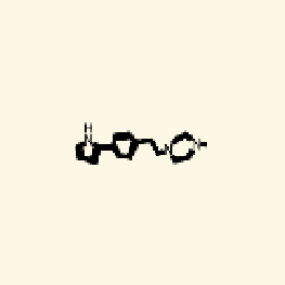 CN1CCN(CCc2ccc(-c3ccc[nH]3)cc2)CC1